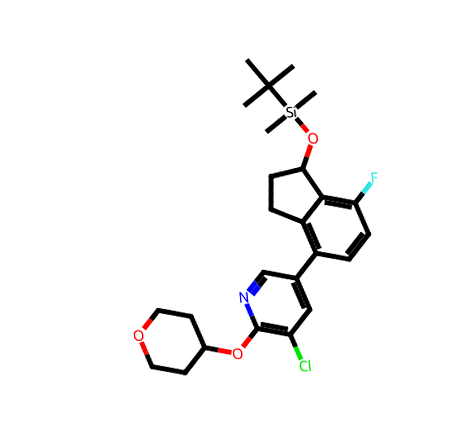 CC(C)(C)[Si](C)(C)OC1CCc2c(-c3cnc(OC4CCOCC4)c(Cl)c3)ccc(F)c21